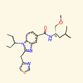 CCC(CC)n1c(Cc2cscn2)nc2cc(C(=O)N[C@H](COC)CC(C)C)ccc21